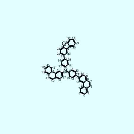 c1ccc2c(c1)ccc1ccc(-c3ccc(N(c4ccc(-c5ccc6oc7ccccc7c6c5)cc4)c4ccc5ccc6ccccc6c5c4)cc3)cc12